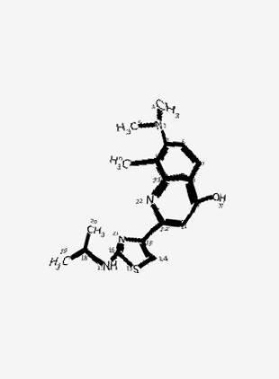 Cc1c(N(C)C)ccc2c(O)cc(-c3csc(NC(C)C)n3)nc12